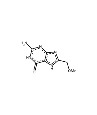 COCc1nc2nc(N)[nH]c(=O)c2[nH]1